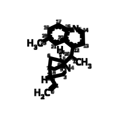 C=C[C@H]1CN2CCC1C[C@H]2[C@H](C)c1ccnc2ccc(C)cc12